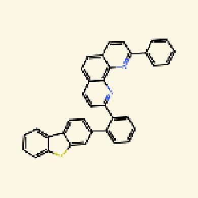 c1ccc(-c2ccc3ccc4ccc(-c5ccccc5-c5ccc6c(c5)sc5ccccc56)nc4c3n2)cc1